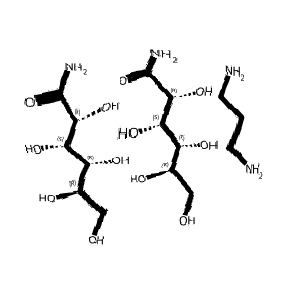 NC(=O)[C@H](O)[C@@H](O)[C@H](O)[C@H](O)CO.NC(=O)[C@H](O)[C@@H](O)[C@H](O)[C@H](O)CO.NCCCN